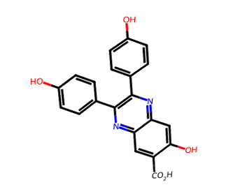 O=C(O)c1cc2nc(-c3ccc(O)cc3)c(-c3ccc(O)cc3)nc2cc1O